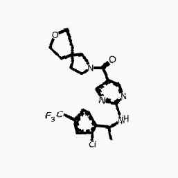 CC(Nc1ncc(C(=O)N2CCC3(CCOCC3)C2)cn1)c1ccc(C(F)(F)F)cc1Cl